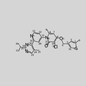 Cc1cc(COc2cc(C)n(-c3ccnc(-c4nc(C(C)C)ncc4C)c3)c(=O)c2Cl)cs1